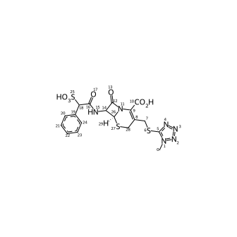 Cn1nnnc1SCC1=C(C(=O)O)N2C(=O)C(NC(=O)C(c3ccccc3)S(=O)(=O)O)[C@@H]2SC1